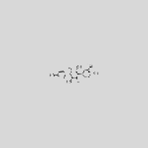 O=C1C(O)=C(c2ccc(O)c(O)c2)C(=O)C(O)=C1c1ccc(O)cc1